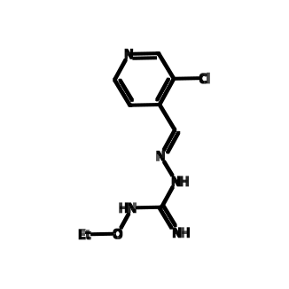 CCONC(=N)NN=Cc1ccncc1Cl